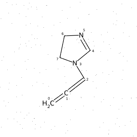 C=C=CN1C=NCC1